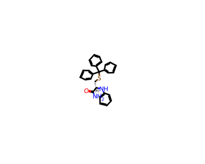 NC(=O)[C@H](CSC(c1ccccc1)(c1ccccc1)c1ccccc1)Nc1ccccc1